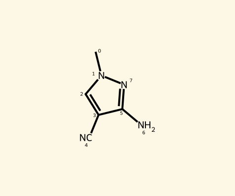 Cn1cc(C#N)c(N)n1